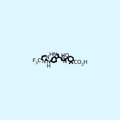 CC1(C)CC(O)(c2ncc(-c3c[nH]c4cc(Nc5nccc(C(F)(F)F)n5)ccc34)s2)CCC1C(=O)O